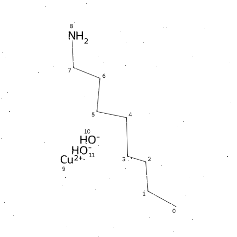 CCCCCCCCN.[Cu+2].[OH-].[OH-]